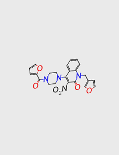 O=C(c1ccco1)N1CCN(c2c([N+](=O)[O-])c(=O)n(Cc3ccoc3)c3ccccc23)CC1